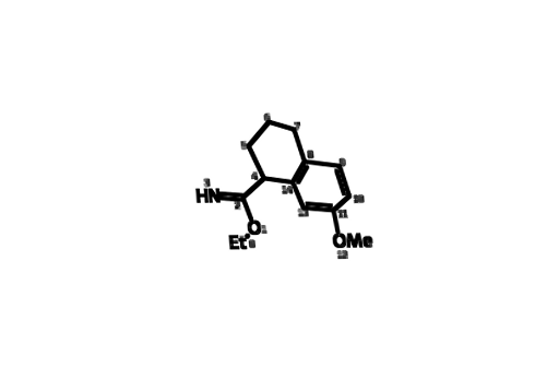 CCOC(=N)C1CCCc2ccc(OC)cc21